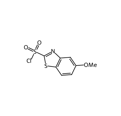 COc1ccc2sc(S(=O)(=O)Cl)nc2c1